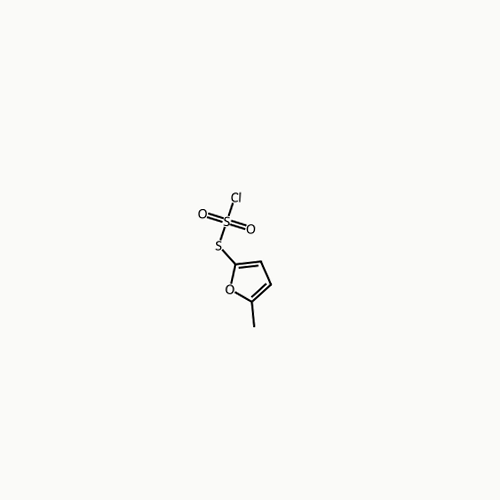 Cc1ccc(SS(=O)(=O)Cl)o1